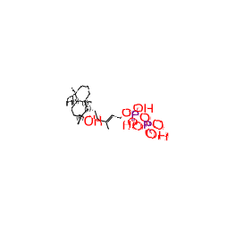 CC(=CCOP(=O)(O)OP(=O)(O)O)CC[C@H]1[C@@]2(C)CCCC(C)(C)[C@@H]2CC[C@@]1(C)O